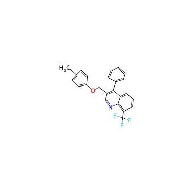 Cc1ccc(OCc2cnc3c(C(F)(F)F)cccc3c2-c2ccccc2)cc1